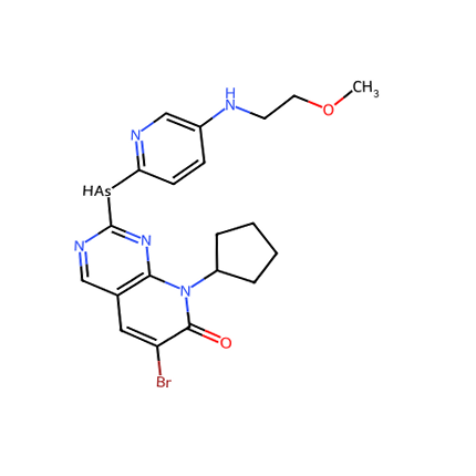 COCCNc1ccc([AsH]c2ncc3cc(Br)c(=O)n(C4CCCC4)c3n2)nc1